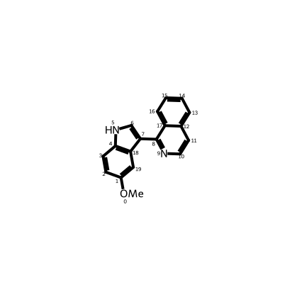 COc1ccc2[nH]cc(-c3nccc4ccccc34)c2c1